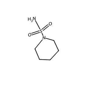 NS(=O)(=O)N1CCCCC1